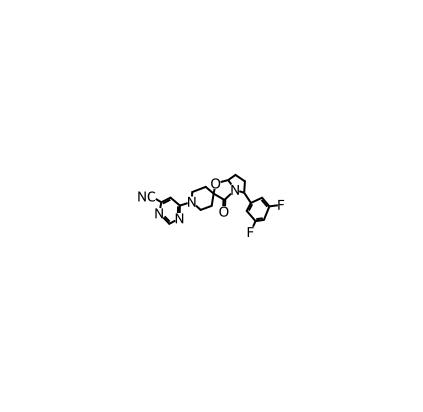 N#Cc1cc(N2CCC3(CC2)OC2CCC(c4cc(F)cc(F)c4)N2C3=O)ncn1